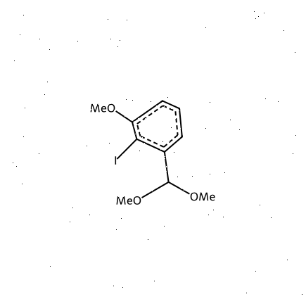 COc1cccc(C(OC)OC)c1I